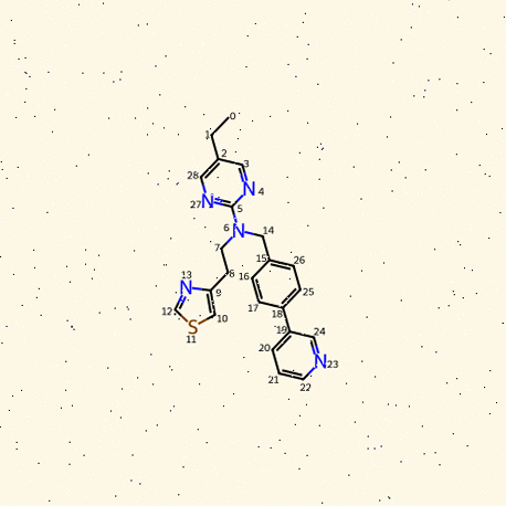 CCc1cnc(N(CCc2cs[c]n2)Cc2ccc(-c3cccnc3)cc2)nc1